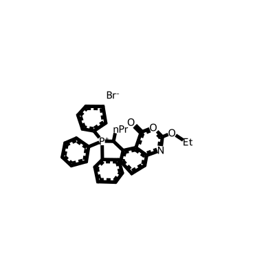 CCCC(c1cccc2nc(OCC)oc(=O)c12)[P+](c1ccccc1)(c1ccccc1)c1ccccc1.[Br-]